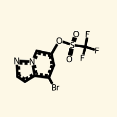 O=S(=O)(Oc1cc(Br)c2ccnn2c1)C(F)(F)F